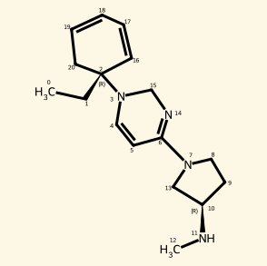 CC[C@]1(N2C=CC(N3CC[C@@H](NC)C3)=NC2)C=CC=CC1